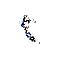 C=C(CC/C(=C\CC(F)(F)F)N[C@@H]1CCN(C(=O)CCCN2CCN(c3ccc(C(F)(F)F)cc3)CC2)C1)[N+](=O)[O-]